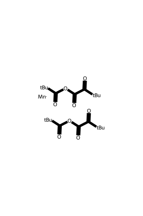 CC(C)(C)C(=O)OC(=O)C(=O)C(C)(C)C.CC(C)(C)C(=O)OC(=O)C(=O)C(C)(C)C.[Mn]